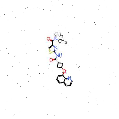 CN(C)C(=O)c1csc(NC(=O)[C@H]2C[C@H](Oc3cccc4cccnc34)C2)n1